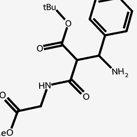 COC(=O)CNC(=O)C(C(=O)OC(C)(C)C)C(N)c1ccccc1